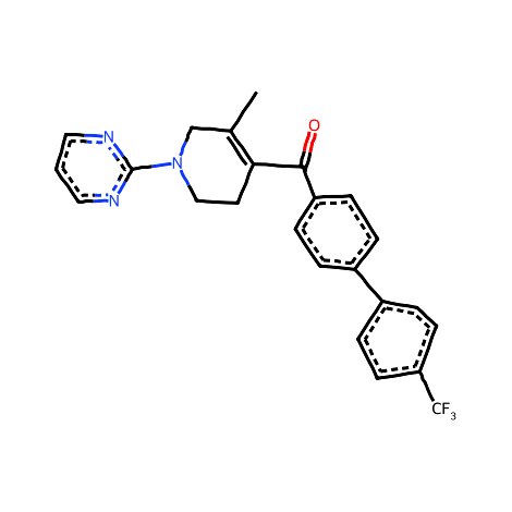 CC1=C(C(=O)c2ccc(-c3ccc(C(F)(F)F)cc3)cc2)CCN(c2ncccn2)C1